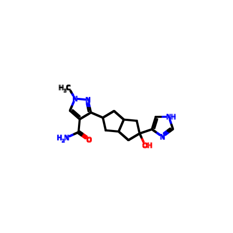 Cn1cc(C(N)=O)c(C2CC3CC(O)(c4c[nH]cn4)CC3C2)n1